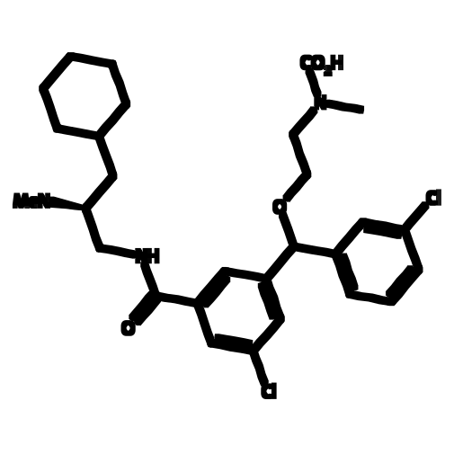 CN[C@H](CNC(=O)c1cc(Cl)cc(C(OCCN(C)C(=O)O)c2cccc(Cl)c2)c1)CC1CCCCC1